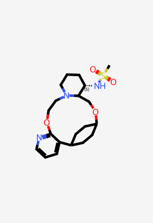 CS(=O)(=O)N[C@H]1CCCN2CCOc3ncccc3C3CCC(CC3)OCC12